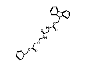 O=C(CNC(=O)OCC1c2ccccc2-c2ccccc21)NCOCC(=O)OCC1C=CC=CC1